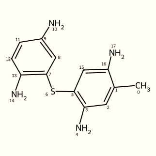 Cc1cc(N)c(Sc2cc(N)ccc2N)cc1N